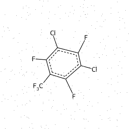 Fc1c(Cl)c(F)c(C(F)(F)F)c(F)c1Cl